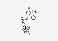 Cc1c(F)ccc([C@@H]2C[C@H]2C(=O)N2CCC[C@@H](NS(C)(=O)=O)C2)c1-c1ccccc1